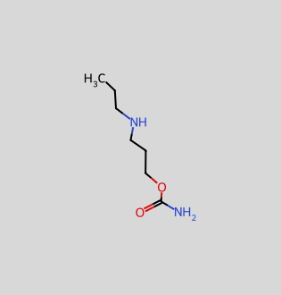 CCCNCCCOC(N)=O